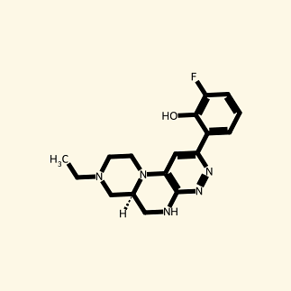 CCN1CCN2c3cc(-c4cccc(F)c4O)nnc3NC[C@H]2C1